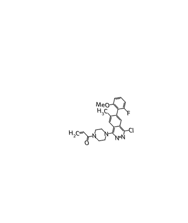 C=CC(=O)N1CCN(c2nnc(Cl)c3cc(-c4c(F)cccc4OC)c(C)cc23)CC1